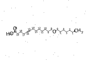 CCCCCCCOCCCCCCCC#CCCCC(=O)O